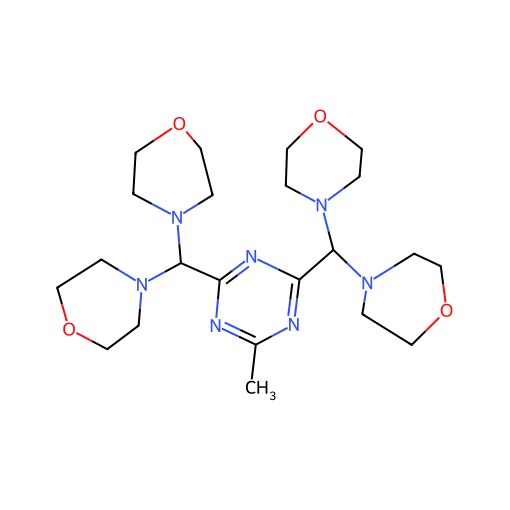 Cc1nc(C(N2CCOCC2)N2CCOCC2)nc(C(N2CCOCC2)N2CCOCC2)n1